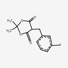 CC1(C)OC(=O)C(Cc2cccc(F)c2)C(=O)O1